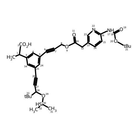 CC(C(=O)O)c1cc(C#CCOC(=O)Cc2ccc(NC(=O)OC(C)(C)C)nc2)cc(C#CC(O[SiH](C)C)C(C)(C)C)c1